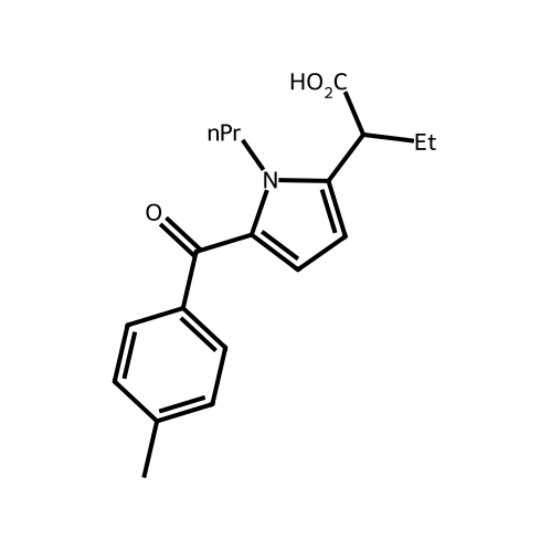 CCCn1c(C(=O)c2ccc(C)cc2)ccc1C(CC)C(=O)O